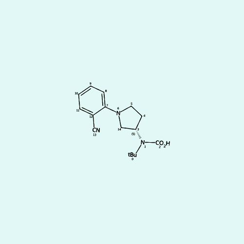 CC(C)(C)N(C(=O)O)[C@H]1CCN(c2ccccc2C#N)C1